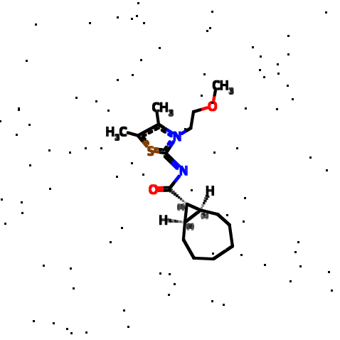 COCCn1c(C)c(C)sc1=NC(=O)[C@H]1[C@@H]2CCCCCC[C@@H]21